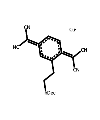 CCCCCCCCCCCCc1cc(=C(C#N)C#N)ccc1=C(C#N)C#N.[Cu]